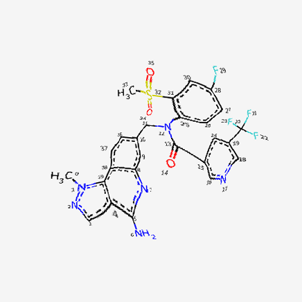 Cn1ncc2c(N)nc3cc(CN(C(=O)c4cncc(C(F)(F)F)c4)c4ccc(F)cc4S(C)(=O)=O)ccc3c21